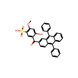 COc1cc(O)c(C(=O)c2ccc3c(-c4ccccc4)c4ccccc4c(-c4ccccc4)c3c2)cc1S(=O)(=O)O